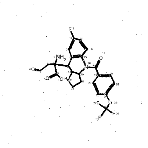 NC(CC=O)(C(=O)O)C1c2cc(F)ccc2N(C(=O)c2ccc(OC(F)(F)F)cc2)C2CCCC21